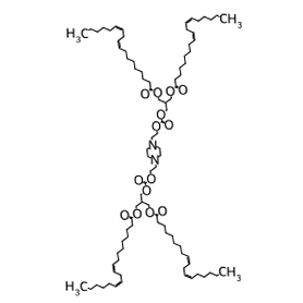 CCCCC/C=C\C/C=C\CCCCCCCC(=O)OCC(COC(=O)CCCCCCC/C=C\C/C=C\CCCCC)COC(=O)OCCN1CCN(CCOC(=O)OCC(COC(=O)CCCCCCC/C=C\C/C=C\CCCCC)COC(=O)CCCCCCC/C=C\C/C=C\CCCCC)CC1